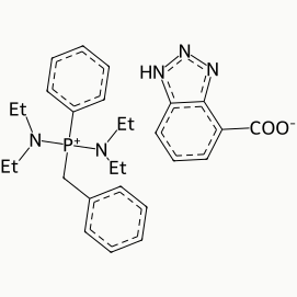 CCN(CC)[P+](Cc1ccccc1)(c1ccccc1)N(CC)CC.O=C([O-])c1cccc2[nH]nnc12